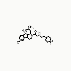 CC(C)CC1c2[nH]c3ccc(Cl)cc3c2CCN1C(=O)CNCCN1CCC(F)(F)CC1